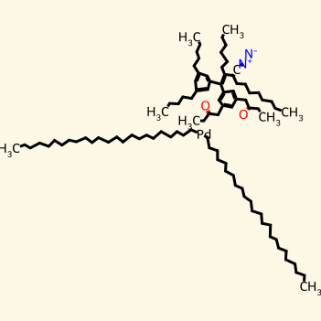 CCCCCCCCC(=C=[N+]=[N-])C(CCCCCC)=C(c1cc(CCCCC)cc(CCCCC)c1)c1cc(CC(=O)CC)cc(CC(=O)CC)c1.CCCCCCCCCCCCCCCCCCCCCCC[CH2][Pd][CH2]CCCCCCCCCCCCCCCCCCCCCCC